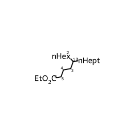 CCCCCCCC(CCCCCC)CCCC(=O)OCC